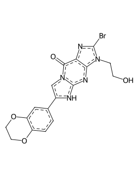 O=c1c2nc(Br)n(CCO)c2nc2[nH]c(-c3ccc4c(c3)OCCO4)cn12